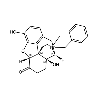 C[N+]1(Cc2ccccc2)CC[C@]23c4c5ccc(O)c4O[C@H]2C(=O)CC[C@@]3(O)[C@H]1C5